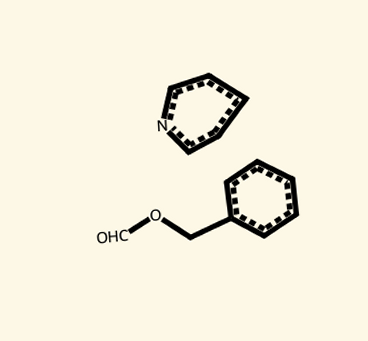 O=COCc1ccccc1.c1ccncc1